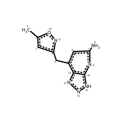 Cc1cc(Cc2cc(N)nc3[nH]nnc23)no1